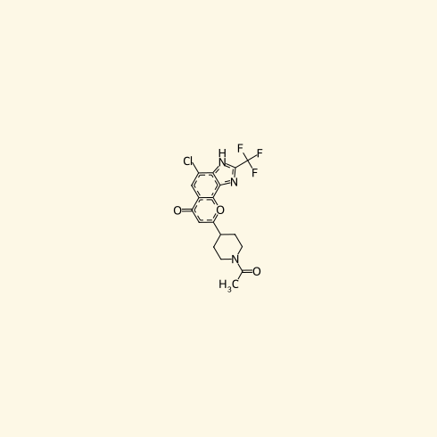 CC(=O)N1CCC(c2cc(=O)c3cc(Cl)c4[nH]c(C(F)(F)F)nc4c3o2)CC1